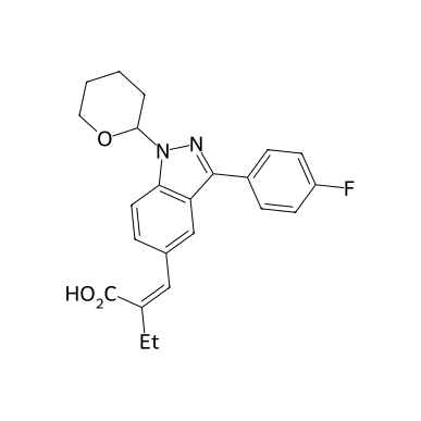 CCC(=Cc1ccc2c(c1)c(-c1ccc(F)cc1)nn2C1CCCCO1)C(=O)O